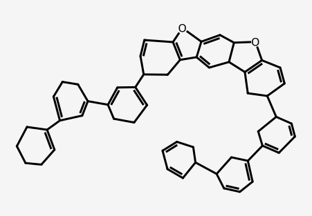 C1=CCC(C2C=CC=C(C3=CC=CC(C4C=CC5=C(C4)C4C=c6c7c(oc6=CC4O5)C=CC(C4=CCCC(C5=CC(C6=CCCCC6)=CCC5)=C4)C7)C3)C2)C=C1